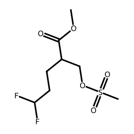 COC(=O)C(CCC(F)F)COS(C)(=O)=O